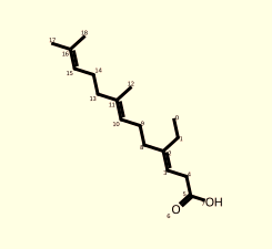 CC/C(=C\CC(=O)O)CC/C=C(\C)CCC=C(C)C